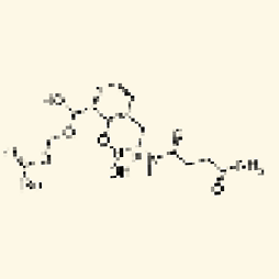 CC(C)(C)C(=O)OCOC(O)c1cccc2c1OB(O)[C@@H](NC(=O)CCC(N)=O)C2